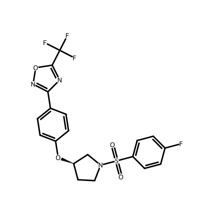 O=S(=O)(c1ccc(F)cc1)N1CC[C@@H](Oc2ccc(-c3noc(C(F)(F)F)n3)cc2)C1